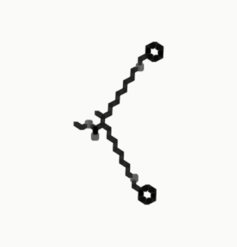 CCOC(=O)C(CCCCCCCCOCc1ccccc1)C(C)CCCCCCCCOCc1ccccc1